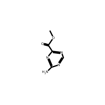 COC(=O)c1ncnc(N)n1